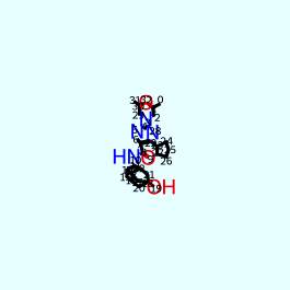 CC1CN(c2ncc(C(=O)NC3C4CC5CC3CC(O)(C5)C4)c(C3CCCC3)n2)CC(C)O1